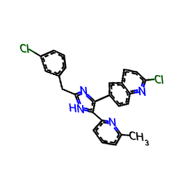 Cc1cccc(-c2[nH]c(Cc3cccc(Cl)c3)nc2-c2ccc3nc(Cl)ccc3c2)n1